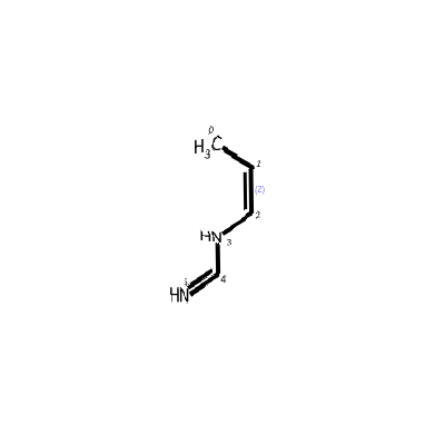 C/C=C\NC=N